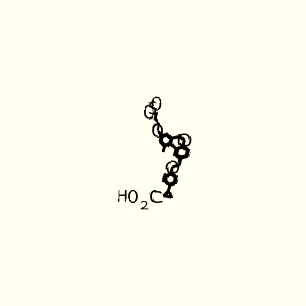 Cc1cc(OCCCS(C)(=O)=O)cc2c1-c1cc(COc3ccc(C4CC4C(=O)O)cc3)ccc1OC2